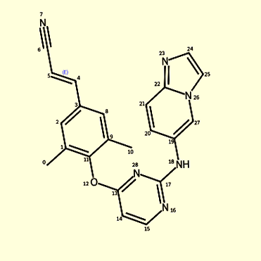 Cc1cc(/C=C/C#N)cc(C)c1Oc1ccnc(Nc2ccc3nccn3c2)n1